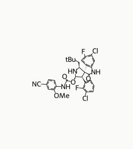 COc1cc(C#N)ccc1NC(=O)O[C@H]1N[C@@H](CC(C)(C)C)[C@@]2(C(=O)Nc3cc(Cl)c(F)cc32)[C@H]1c1cccc(Cl)c1F